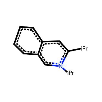 CC(C)c1cc2ccccc2c[n+]1C(C)C